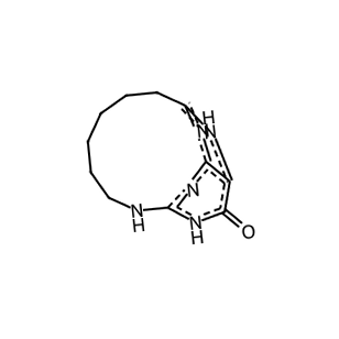 O=c1[nH]c2nc3nc([nH]c13)CCCCCCN2